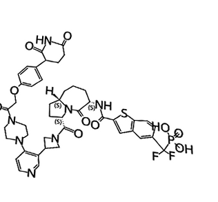 O=C1CCC(c2ccc(OCC(=O)N3CCN(c4ccncc4C4CN(C(=O)[C@@H]5CC[C@@H]6CCC[C@H](NC(=O)c7cc8cc(C(F)(F)P(=O)(O)O)ccc8s7)C(=O)N65)C4)CC3)cc2)C(=O)N1